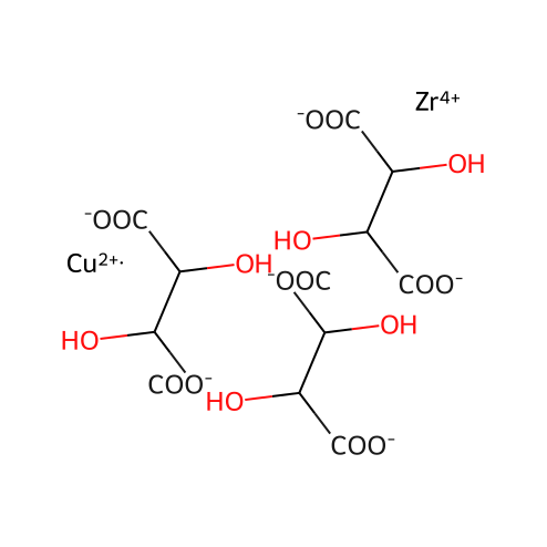 O=C([O-])C(O)C(O)C(=O)[O-].O=C([O-])C(O)C(O)C(=O)[O-].O=C([O-])C(O)C(O)C(=O)[O-].[Cu+2].[Zr+4]